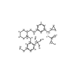 COC(=O)C[C@H](c1cccc(OCC2CCCCN2Cc2cc(CF)ccc2C(F)(F)F)c1)C1CC1